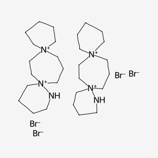 C1CC[N+]2(CC1)CCC[N+]1(CCCCN1)CC2.C1CC[N+]2(CC1)CCC[N+]1(CCCCN1)CC2.[Br-].[Br-].[Br-].[Br-]